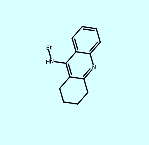 CCNc1c2c(nc3ccccc13)CCCC2